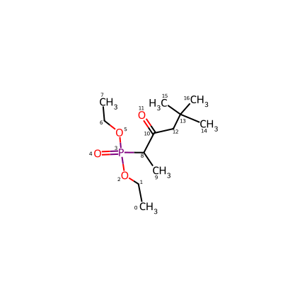 CCOP(=O)(OCC)C(C)C(=O)CC(C)(C)C